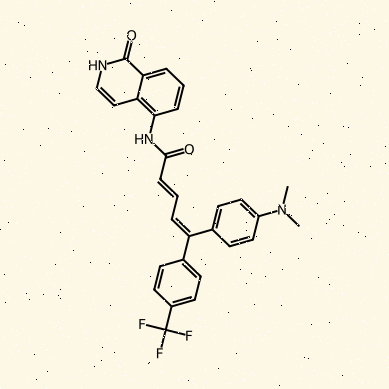 CN(C)c1ccc(C(=CC=CC(=O)Nc2cccc3c(=O)[nH]ccc23)c2ccc(C(F)(F)F)cc2)cc1